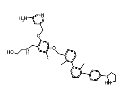 Cc1c(COc2cc(OCc3cncc(N)c3)c(CNCCO)cc2Cl)cccc1-c1cccc(-c2ccc(C3CCCN3)cc2)c1C